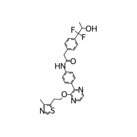 Cc1ncsc1CCOc1nccnc1-c1ccc(NC(=O)Cc2ccc(C(F)(F)C(C)O)cc2)cc1